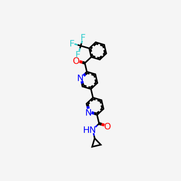 O=C(NC1CC1)c1ccc(-c2ccc(C(=O)c3ccccc3C(F)(F)F)nc2)cn1